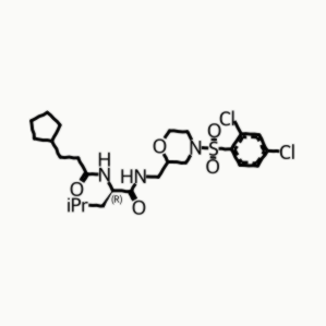 CC(C)C[C@@H](NC(=O)CCC1CCCC1)C(=O)NCC1CN(S(=O)(=O)c2ccc(Cl)cc2Cl)CCO1